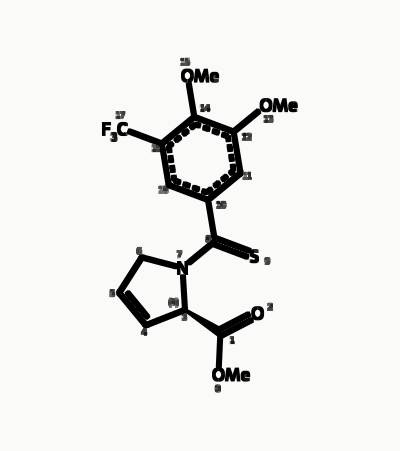 COC(=O)[C@H]1C=CCN1C(=S)c1cc(OC)c(OC)c(C(F)(F)F)c1